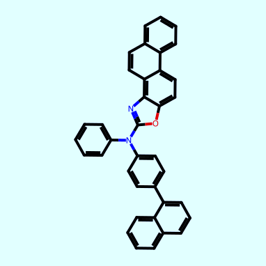 c1ccc(N(c2ccc(-c3cccc4ccccc34)cc2)c2nc3c(ccc4c5ccccc5ccc43)o2)cc1